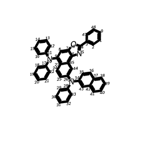 c1ccc(-c2nc3c(cc(N(c4ccccc4)c4ccccc4)c4ccc(N(c5ccccc5)c5ccc6ccccc6c5)cc43)o2)cc1